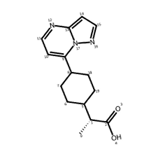 C[C@@H](C(=O)O)C1CCC(c2ccnc3ccnn23)CC1